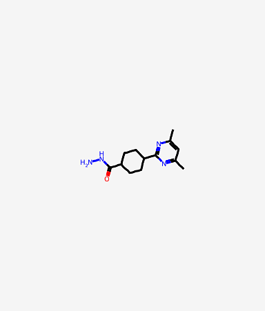 Cc1cc(C)nc(C2CCC(C(=O)NN)CC2)n1